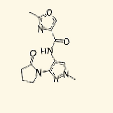 Cc1nc(C(=O)Nc2cn(C)nc2N2CCCC2=O)co1